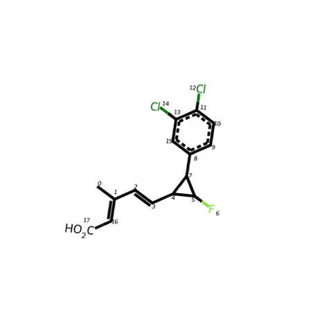 CC(C=CC1C(F)C1c1ccc(Cl)c(Cl)c1)=CC(=O)O